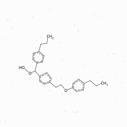 CCCc1ccc(OCCc2ccc(C(OO)c3ccc(CCC)cc3)cc2)cc1